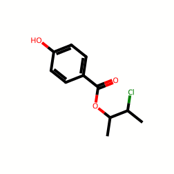 CC(Cl)C(C)OC(=O)c1ccc(O)cc1